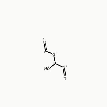 O=COC(O)N=O